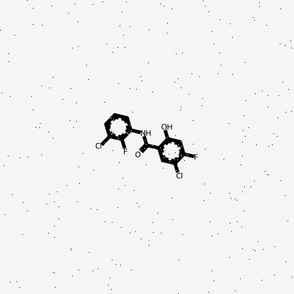 O=C(Nc1cccc(Cl)c1F)c1cc(Cl)c(F)cc1O